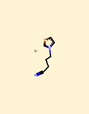 N#CCCC[n+]1ccsc1.[Br-]